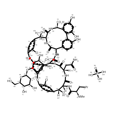 CN[C@H](CC(C)C)C(=O)N[C@H]1C(=O)N[C@@H](CC(N)=O)C(=O)N[C@H]2C(=O)N[C@H]3C(=O)N[C@H](C(=O)N[C@@H](C(=O)O)c4cc(O)cc(O)c4-c4cc3ccc4O)[C@H](O)c3ccc(c(Cl)c3)Oc3cc2cc(c3O[C@@H]2O[C@H](CO)[C@@H](O)[C@H](O)[C@H]2O[C@H]2C[C@](C)(N)C(O)[C@H](C)O2)Oc2ccc(cc2Cl)[C@H]1O.O=P(O)(O)O